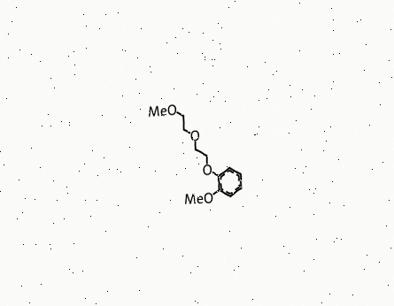 COCCOCCOc1ccccc1OC